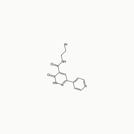 CC(C)CCNC(=O)c1cc(-c2ccncc2)n[nH]c1=O